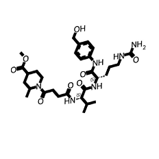 COC(=O)C1CCN(C(=O)CCC(=O)N[C@H](C(=O)N[C@@H](CCCNC(N)=O)C(=O)Nc2ccc(CO)cc2)C(C)C)C(C)C1